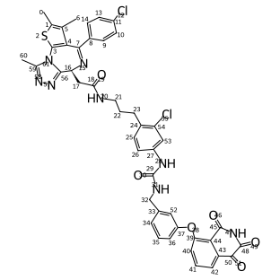 Cc1sc2c(c1C)C(c1ccc(Cl)cc1)=N[C@@H](CC(=O)NCCCc1ccc(NC(=O)NCc3cccc(Oc4cccc5c4C(=O)NC(=O)C5=O)c3)cc1Cl)c1nnc(C)n1-2